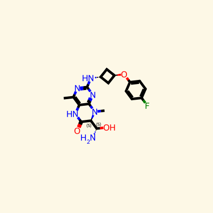 Cc1nc(N[C@H]2C[C@H](Oc3ccc(F)cc3)C2)nc2c1NC(=O)[C@H]([C@@H](N)O)N2C